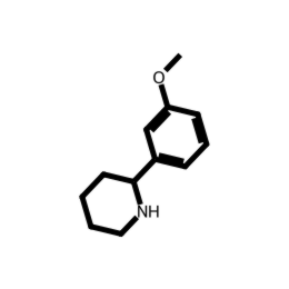 COc1cccc(C2CCCCN2)c1